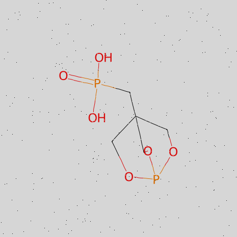 O=P(O)(O)CC12COP(OC1)OC2